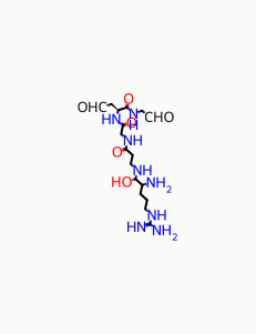 N=C(N)NCCCC(N)C(O)NCCC(=O)NCC(=O)N[C@@H](CC=O)C(=O)NCC=O